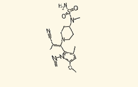 C=Nn1c(OC)cc(C)c1/C(=C(\C)C#N)N1CCC(N(C)S(N)(=O)=O)CC1